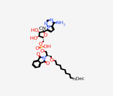 CCCCCCCCCCCCCCCCCCOC[C@H](COP(=O)(O)OC[C@H]1O[C@@](C#N)(c2ccc3c(N)ncnn23)[C@H](O)[C@@H]1O)N1C(=O)c2ccccc2C1=O